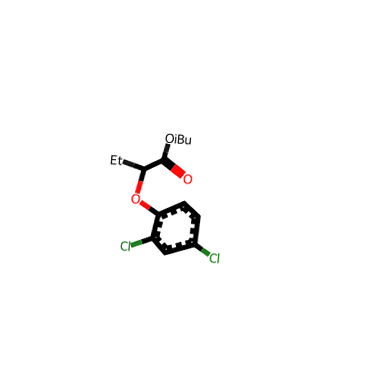 CCC(Oc1ccc(Cl)cc1Cl)C(=O)OCC(C)C